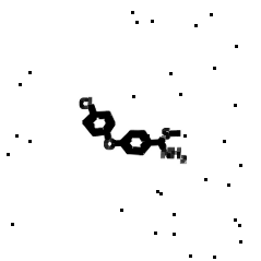 CSC(N)c1ccc(Oc2ccc(Cl)cc2)cc1